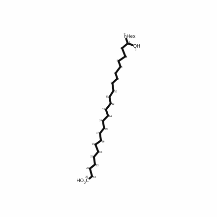 CCCCCCC(O)CCCCCCCCCCCCCCCCCCCCCCC(=O)O